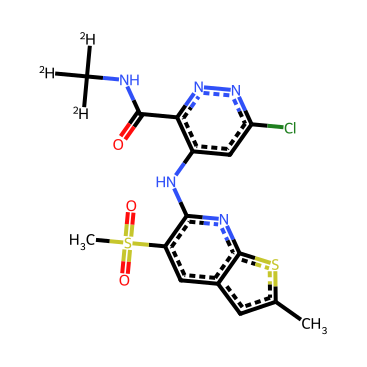 [2H]C([2H])([2H])NC(=O)c1nnc(Cl)cc1Nc1nc2sc(C)cc2cc1S(C)(=O)=O